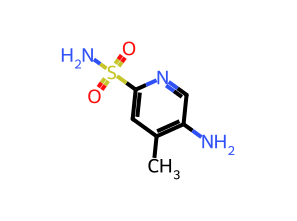 Cc1cc(S(N)(=O)=O)ncc1N